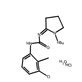 CCCCN1CCCC1=NC(=O)Nc1cccc(Cl)c1C.Cl.O